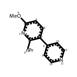 CCCc1nc(OC)ccc1-c1ccncc1